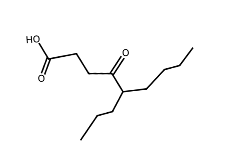 CCCCC(CCC)C(=O)CCC(=O)O